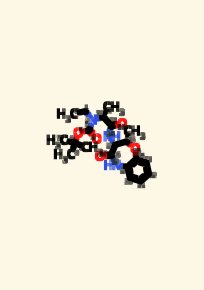 CCN(C(=O)OC(C)(C)C)[C@@H](C)C(=O)N[C@@H]1C(=O)Nc2ccccc2O[C@H]1C